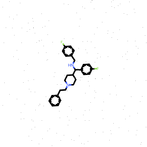 Fc1ccc(CNC(c2ccc(F)cc2)C2CCN(CCc3ccccc3)CC2)cc1